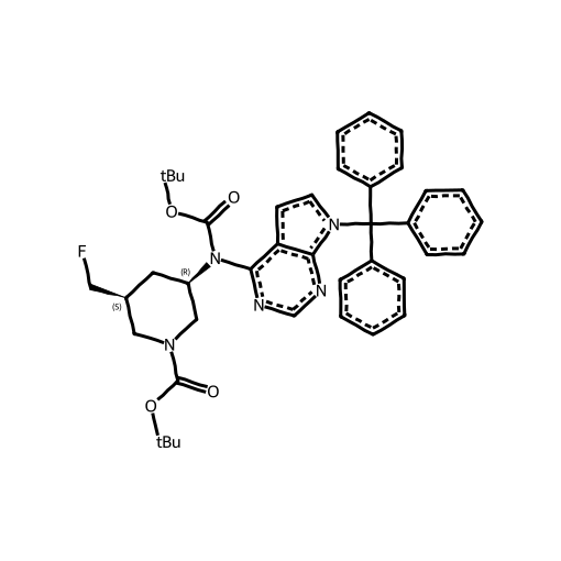 CC(C)(C)OC(=O)N1C[C@@H](CF)C[C@@H](N(C(=O)OC(C)(C)C)c2ncnc3c2ccn3C(c2ccccc2)(c2ccccc2)c2ccccc2)C1